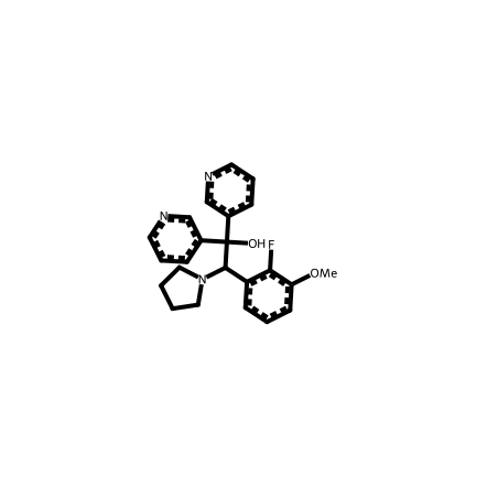 COc1cccc(C(N2CCCC2)C(O)(c2cccnc2)c2cccnc2)c1F